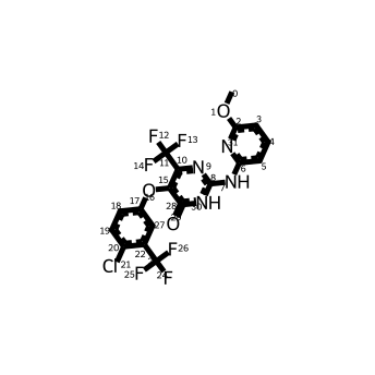 COc1cccc(Nc2nc(C(F)(F)F)c(Oc3ccc(Cl)c(C(F)(F)F)c3)c(=O)[nH]2)n1